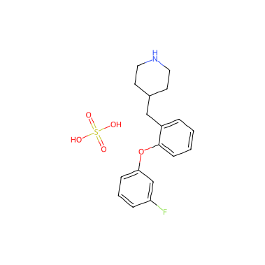 Fc1cccc(Oc2ccccc2CC2CCNCC2)c1.O=S(=O)(O)O